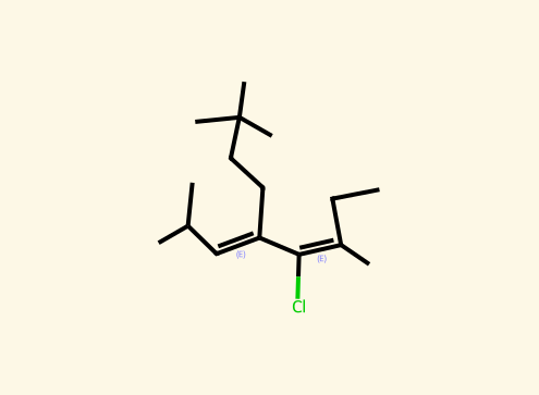 CC/C(C)=C(Cl)\C(=C\C(C)C)CCC(C)(C)C